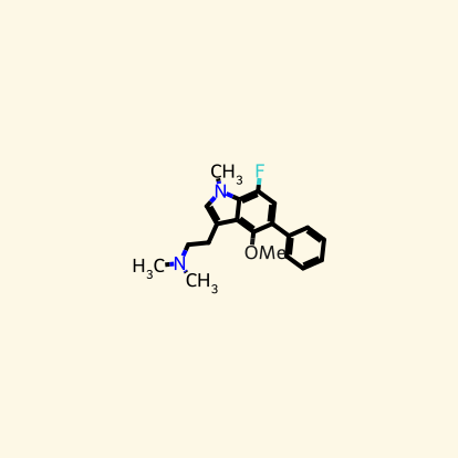 COc1c(-c2ccccc2)cc(F)c2c1c(CCN(C)C)cn2C